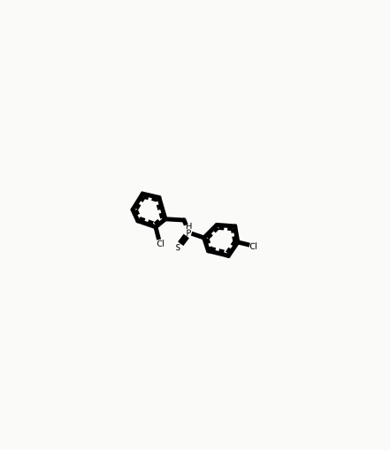 S=[PH](Cc1ccccc1Cl)c1ccc(Cl)cc1